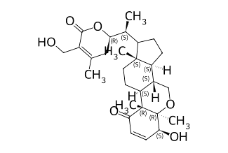 CC1=C(CO)C(=O)O[C@@H]([C@@H](C)C2CC[C@H]3[C@@H]4CO[C@@]5(C)[C@@H](O)C=CC(=O)[C@]5(C)[C@H]4CC[C@]23C)C1